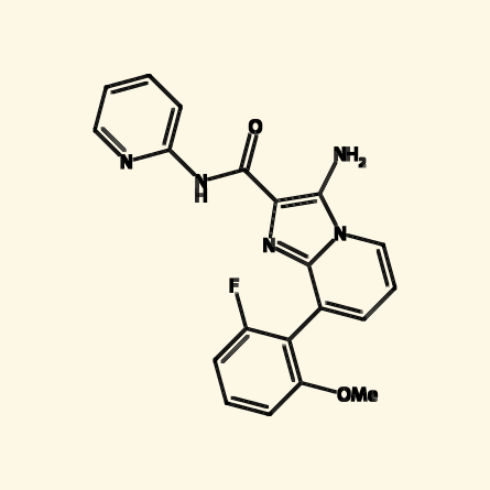 COc1cccc(F)c1-c1cccn2c(N)c(C(=O)Nc3ccccn3)nc12